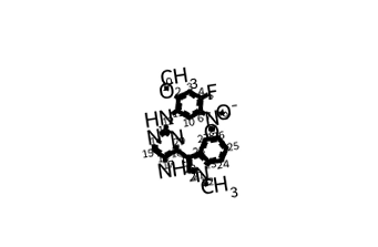 COc1cc(F)c([N+](=O)[O-])cc1Nc1ncc(N)c(-c2cn(C)c3ccccc23)n1